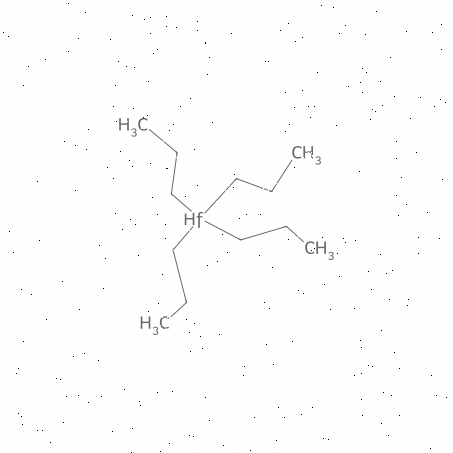 CC[CH2][Hf]([CH2]CC)([CH2]CC)[CH2]CC